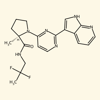 CC(F)(F)CNC(=O)[C@@]1(C)CCCN1c1ccnc(-c2c[nH]c3ncccc23)n1